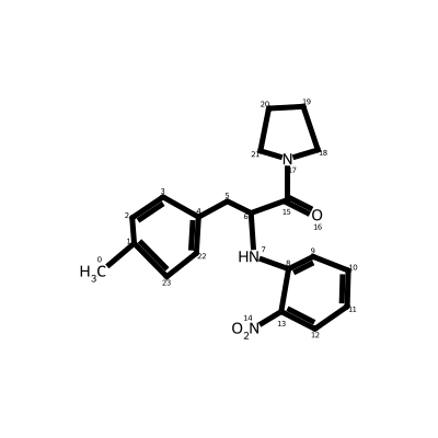 Cc1ccc(CC(Nc2ccccc2[N+](=O)[O-])C(=O)N2CCCC2)cc1